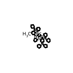 Cc1cc2c3c(c1)N1c4ccccc4N4c5cc(N(c6ccccc6)c6ccccc6)cc6c5B(c5ccccc5N6c5ccccc5)c5sc(c1c54)B3c1ccccc1N2c1ccccc1